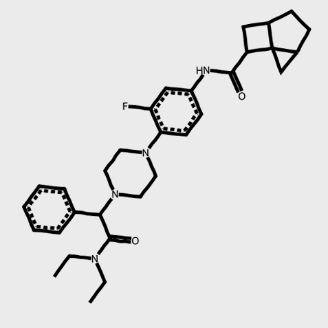 CCN(CC)C(=O)C(c1ccccc1)N1CCN(c2ccc(NC(=O)C3CC4CCC5CC453)cc2F)CC1